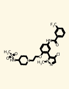 Cn1ncc(Cl)c1-c1cc(NC(=O)c2cccc(C(F)(F)F)c2)ccc1OCCN1CCC(NS(C)(=O)=O)CC1